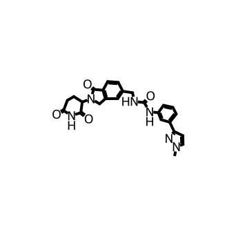 Cn1ccc(-c2cccc(NC(=O)NCc3ccc4c(c3)CN(C3CCC(=O)NC3=O)C4=O)c2)n1